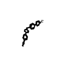 CC#Cc1ccc(-c2ccc(Cc3ccc(-c4ccc(F)cc4)cc3)cc2)cc1